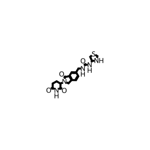 O=C1CCC(N2Cc3ccc(CNC(=O)NC4CSCN4)cc3C2=O)C(=O)N1